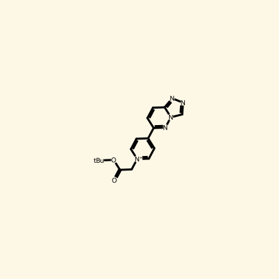 CC(C)(C)OC(=O)C[n+]1ccc(-c2ccc3nncn3n2)cc1